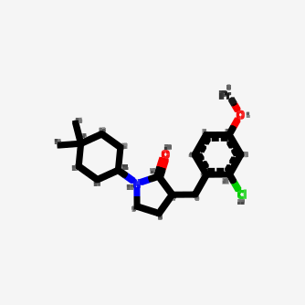 CC(C)Oc1ccc(CC2CCN(C3CCC(C)(C)CC3)C2=O)c(Cl)c1